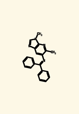 Cc1nc2c(cc1N=C(c1ccccc1)c1ccccc1)ncn2C